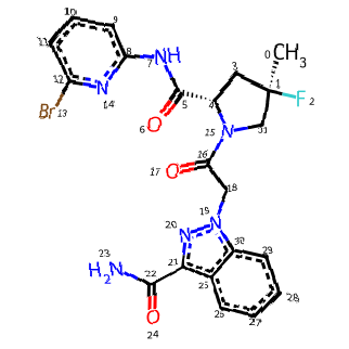 C[C@@]1(F)C[C@@H](C(=O)Nc2cccc(Br)n2)N(C(=O)Cn2nc(C(N)=O)c3ccccc32)C1